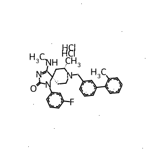 CNC1=NC(=O)N(c2cccc(F)c2)[C@@]12CCN(Cc1cccc(-c3ccccc3C)c1)[C@@H](C)C2.Cl.Cl